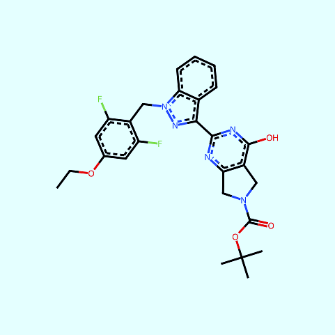 CCOc1cc(F)c(Cn2nc(-c3nc(O)c4c(n3)CN(C(=O)OC(C)(C)C)C4)c3ccccc32)c(F)c1